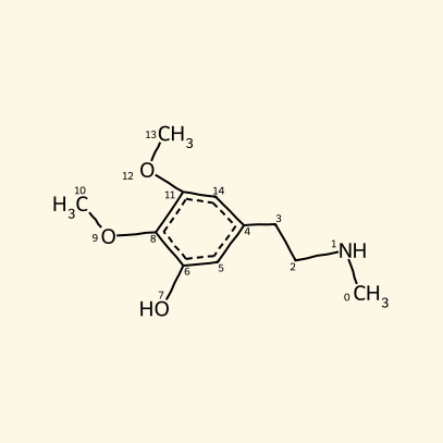 CNCCc1cc(O)c(OC)c(OC)c1